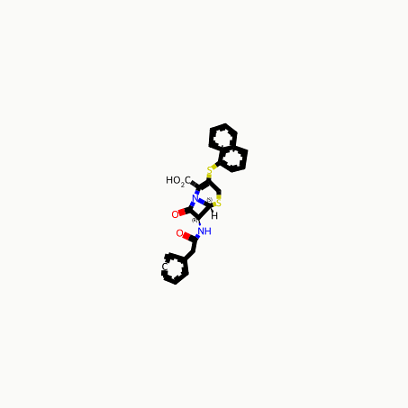 O=C(Cc1ccccc1)N[C@@H]1C(=O)N2C(C(=O)O)=C(Sc3cccc4ccccc34)CS[C@@H]12